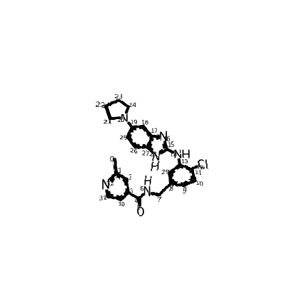 Cc1cc(C(=O)NCc2ccc(Cl)c(Nc3nc4cc(N5CCCC5)ccc4[nH]3)c2)ccn1